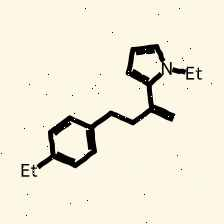 C=C(CCc1ccc(CC)cc1)c1cccn1CC